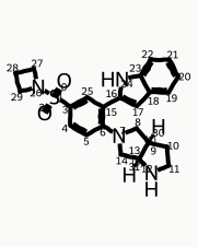 O=S(=O)(c1ccc(N2C[C@@H]3CCN[C@@H]3C2)c(-c2cc3ccccc3[nH]2)c1)N1CCC1